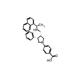 C[C@@H](NC[C@@H]1CN(c2ccc(C(=O)O)cc2)C[C@@H]1c1ccccc1)c1cccc2ccccc12